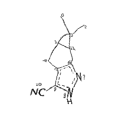 CC1(C)C2Cc3c(n[nH]c3C#N)C21